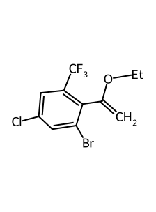 C=C(OCC)c1c(Br)cc(Cl)cc1C(F)(F)F